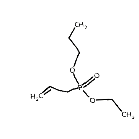 C=CCP(=O)(OCC)OCCC